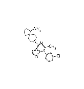 Cc1nc(N2CCC3(CCC[C@H]3N)CC2)n2ccnc2c1-c1cccc(Cl)c1